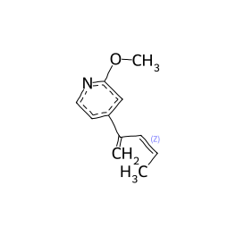 C=C(/C=C\C)c1ccnc(OC)c1